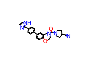 N#CC1CCN(C(=O)N2CCOc3ccc(-c4ccc(-c5ncc[nH]5)cc4)cc3C2)CC1